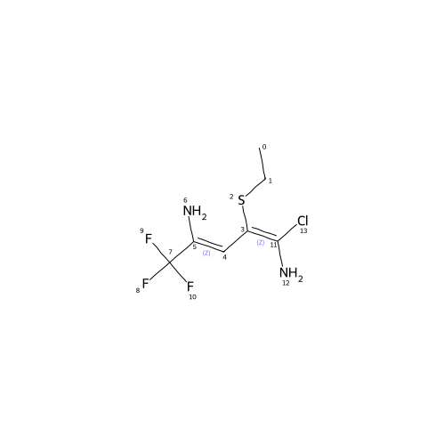 CCSC(/C=C(\N)C(F)(F)F)=C(/N)Cl